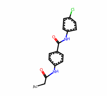 CC(=O)CC(=O)Nc1ccc(C(=O)Nc2ccc(Cl)cc2)cc1